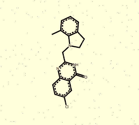 Cc1cccc2c1N(Cc1nc3ccc(Cl)cc3c(=O)[nH]1)CC2